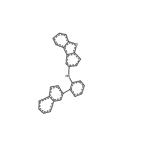 c1ccc(-c2ccc3ccccc3c2)c(Nc2ccc3sc4ccccc4c3c2)c1